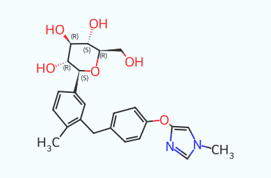 Cc1ccc([C@@H]2O[C@H](CO)[C@@H](O)[C@H](O)[C@H]2O)cc1Cc1ccc(Oc2cn(C)cn2)cc1